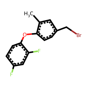 Cc1cc(CBr)ccc1Oc1ccc(F)cc1F